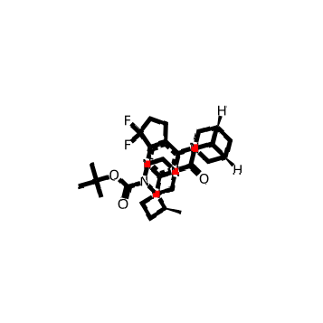 C[C@H]1CCN1c1nc(N2C[C@H]3C[C@@H](C2)C3CC(=O)N2CCN(C(=O)OC(C)(C)C)CC2)c2c(n1)C(F)(F)CC2